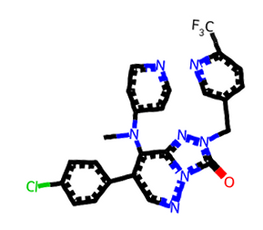 CN(c1ccncc1)c1c(-c2ccc(Cl)cc2)cnn2c(=O)n(Cc3ccc(C(F)(F)F)nc3)nc12